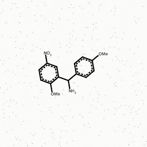 COc1ccc(C(N)c2cc([N+](=O)[O-])ccc2OC)cc1